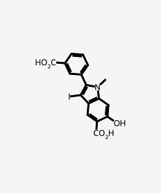 Cn1c(-c2cccc(C(=O)O)c2)c(I)c2cc(C(=O)O)c(O)cc21